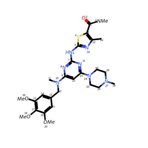 CNC(=O)c1sc(Nc2nc(N(C)Cc3cc(OC)c(OC)c(OC)c3)cc(N3CCN(C)CC3)n2)nc1C